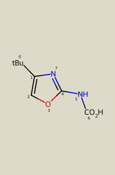 CC(C)(C)c1coc(NC(=O)O)n1